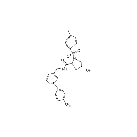 O=C(NCc1cccc(-c2ccc(C(F)(F)F)cc2)c1)[C@@H]1C[C@@H](O)CN1S(=O)(=O)c1ccc(F)cc1